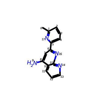 Cc1cccc(-c2cc(N)c3cccnc3n2)n1